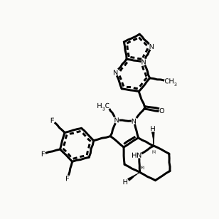 Cc1c(C(=O)N2C3=C(C[C@H]4CCC[C@@H]3N4)C(c3cc(F)c(F)c(F)c3)N2C)cnc2ccnn12